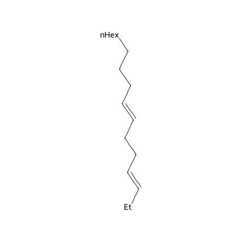 [CH2]CCCCCCCCC=CCCC=CCC